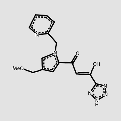 COCc1cc(C(=O)C=C(O)c2nn[nH]n2)n(Cc2ccccn2)c1